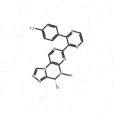 CC[C@@H]1c2nncn2-c2cnc(-c3nccnc3-c3ccc(C(F)(F)F)cc3)nc2N1C(C)C